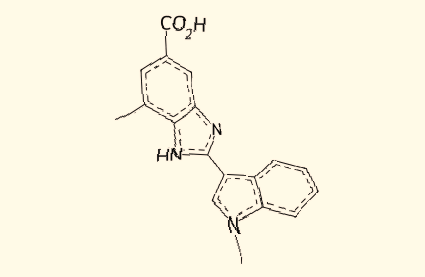 Cc1cc(C(=O)O)cc2nc(-c3cn(C)c4ccccc34)[nH]c12